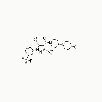 O=C(c1c(C2CC2)nn(-c2cccc(C(F)(F)F)c2)c1C1CC1)N1CCC(N2CCC(O)CC2)CC1